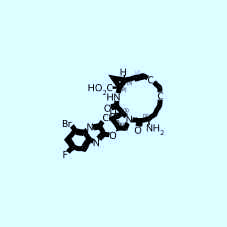 Cc1nc2c(Br)cc(F)cc2nc1O[C@@H]1C[C@H]2C(=O)N[C@]3(C(=O)O)C[C@H]3/C=C\CCCCC[C@H](N)C(=O)N2C1